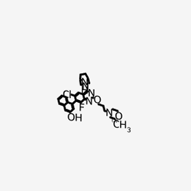 C[C@H]1CN(CCCOc2nc(N3CC4CCC(C3)N4)c3cc(Cl)c(-c4cc(O)cc5ccccc45)c(F)c3n2)CCO1